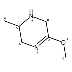 COC1=NCC(C)NC1